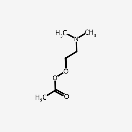 CC(=O)OOCCN(C)C